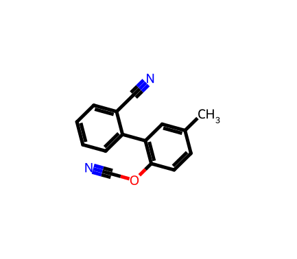 Cc1ccc(OC#N)c(-c2ccccc2C#N)c1